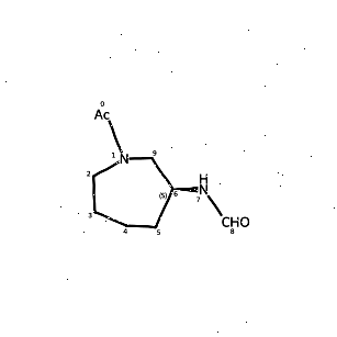 CC(=O)N1CCCC[C@H](NC=O)C1